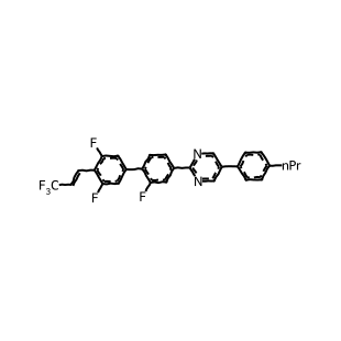 CCCc1ccc(-c2cnc(-c3ccc(-c4cc(F)c(/C=C/C(F)(F)F)c(F)c4)c(F)c3)nc2)cc1